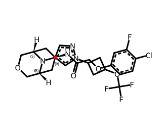 O=C(COc1ccc(Cl)c(F)c1)N[C@@H]1C[C@H]2COC[C@@H](C1)N2c1cnn(C2CC(OC(F)(F)F)C2)c1